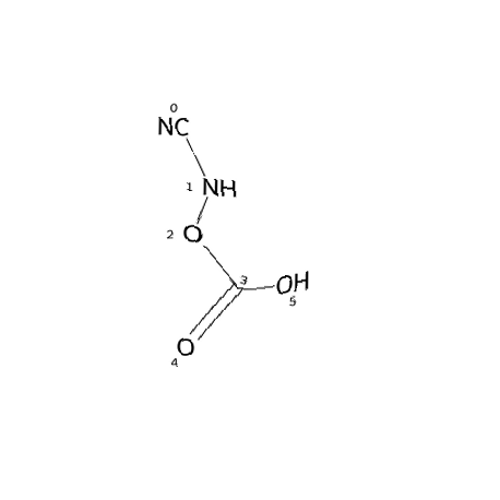 N#CNOC(=O)O